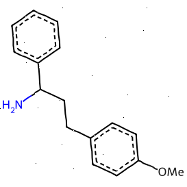 COc1ccc(CCC(N)c2ccccc2)cc1